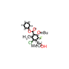 CCCCOc1c(F)c(C(CO)OC)c(Cl)c(C)c1C(=O)Oc1ccccc1